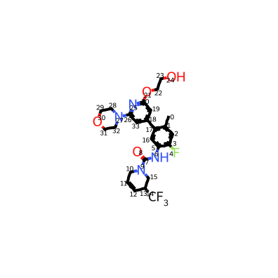 Cc1cc(F)c(NC(=O)N2CC=CC(C(F)(F)F)C2)cc1-c1cc(OCCO)nc(N2CCOCC2)c1